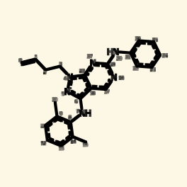 C=CCCn1nc(Nc2c(C)cccc2C)c2cnc(Nc3ccccc3)nc21